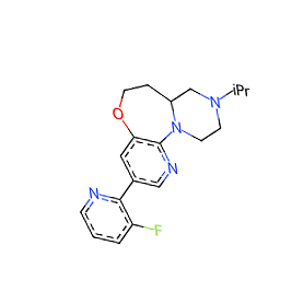 CC(C)N1CCN2c3ncc(-c4ncccc4F)cc3OCCC2C1